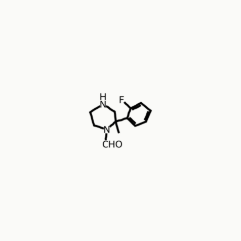 CC1(c2ccccc2F)CNCCN1C=O